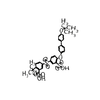 CC(C)(C)Oc1ccc(-c2ccc(Oc3ccc(S(=O)(=O)c4ccc(C(C)(C)C)c(S(=O)(=O)O)c4)cc3S(=O)(=O)O)cc2)cc1